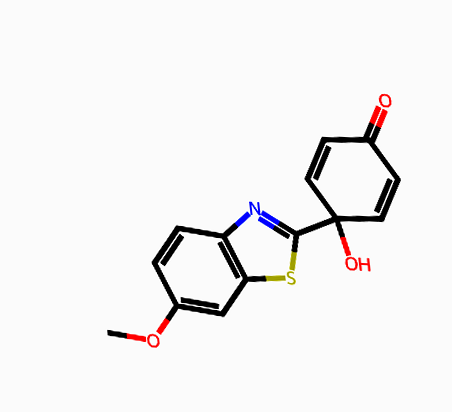 COc1ccc2nc(C3(O)C=CC(=O)C=C3)sc2c1